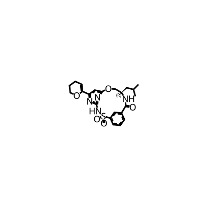 CC(C)C[C@@H]1COc2cc(C3=CCCCO3)nc(n2)NS(=O)(=O)c2cccc(c2)C(=O)N1